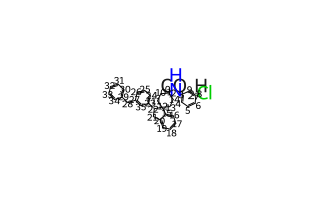 O=C(O)C1(Nc2cccc(Cl)c2)CCC2(CC1)c1ccccc1C[C@H]2c1cccc(Cc2ccccc2)c1